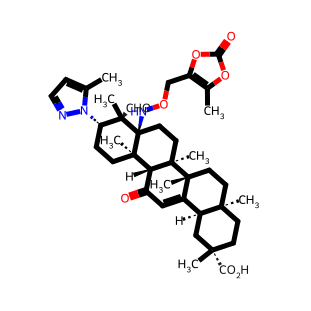 Cc1oc(=O)oc1CON[C@@]12CC[C@]3(C)[C@H](C(=O)C=C4[C@@H]5C[C@@](C)(C(=O)O)CC[C@]5(C)CC[C@]43C)[C@@]1(C)CC[C@H](n1nccc1C)[C@@]2(C)C=O